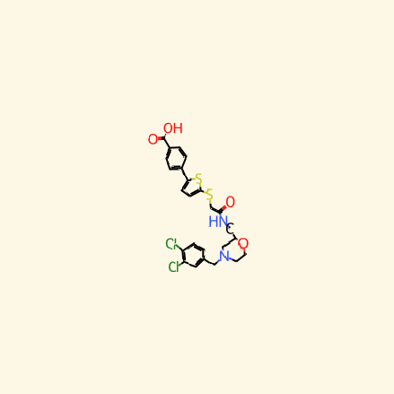 O=C(CSc1ccc(-c2ccc(C(=O)O)cc2)s1)NCC1CN(Cc2ccc(Cl)c(Cl)c2)CCO1